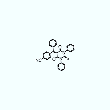 N#Cc1ccc(C(=C2C(=O)N(c3ccccc3)C(=S)N(c3ccccc3)C2=O)c2ccccc2)cc1